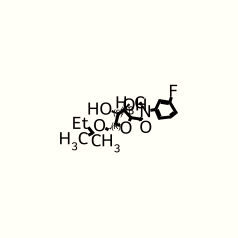 CCC(C)(C)OC[C@H]1OC(C(=O)N(C)c2cccc(F)c2)[C@H](O)[C@@H]1O